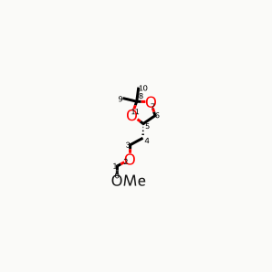 COCOCC[C@H]1COC(C)(C)O1